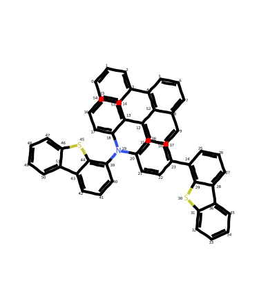 c1ccc(-c2cccc3cccc(-c4ccccc4N(c4ccc(-c5cccc6c5sc5ccccc56)cc4)c4cccc5c4sc4ccccc45)c23)cc1